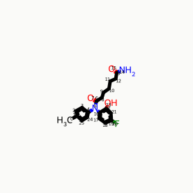 Cc1ccc(N(C(=O)CCCCCC(N)=O)c2ccc(F)cc2O)cc1